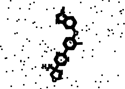 Cc1cc(-c2ncc(C3(N)COC=N3)cn2)ccc1Oc1ccc2c(c1)ncn2C